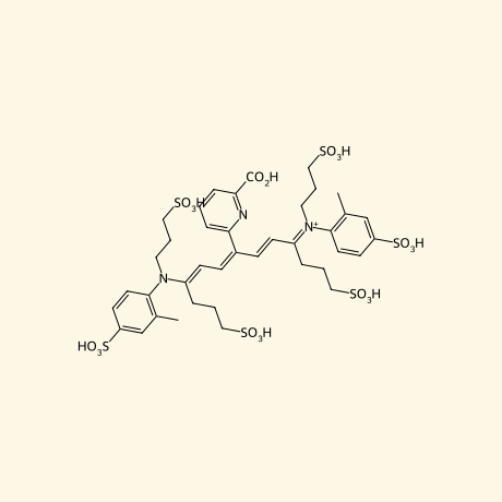 Cc1cc(S(=O)(=O)O)ccc1N(CCCS(=O)(=O)O)/C(=C/C=C(/C=C/C(CCCS(=O)(=O)O)=[N+](\CCCS(=O)(=O)O)c1ccc(S(=O)(=O)O)cc1C)c1cccc(C(=O)O)n1)CCCS(=O)(=O)O